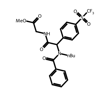 CCCCN(C(=O)c1ccccc1)C(C(=O)NCC(=O)OC)c1ccc(S(=O)(=O)C(F)(F)F)cc1